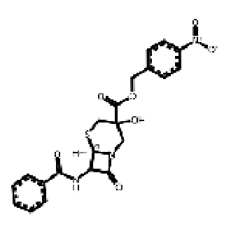 O=C(NC1C(=O)N2CC(O)(C(=O)OCc3ccc([N+](=O)[O-])cc3)CS[C@H]12)c1ccccc1